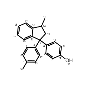 Cc1ccc(C2(c3ccc(O)cc3)CC(C)c3ccccc32)cc1